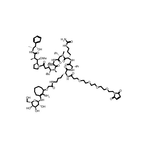 CC[C@H](C)[C@@H]([C@@H](CC(=O)N1CCC[C@H]1[C@H](OC)[C@@H](C)C(=O)N[C@H](C)[C@@H](O)c1ccccc1)OC)N(C)C(=O)[C@@H](NC(=O)[C@H](C(C)C)N(C)C(=O)[C@H](CCCNC(N)=O)NC(=O)[C@@H](NC(=O)[C@@H](CCCCNC(=O)COC1CCCCC/C(N[C@@H]2O[C@H](CO)[C@H](O)[C@H](O)[C@H]2O)=C\1N)NC(=O)CCOCCOCCOCCOCCN1C(=O)C=CC1=O)C(C)C)C(C)C